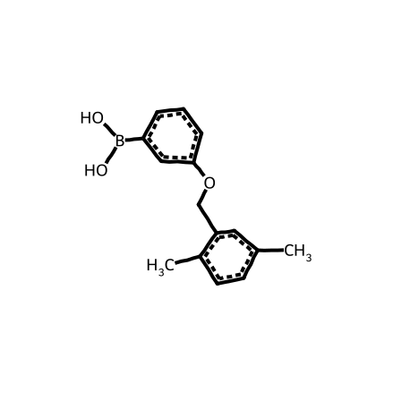 Cc1ccc(C)c(COc2cccc(B(O)O)c2)c1